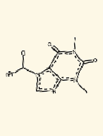 CCCC(Cl)n1cnc2c1c(=O)n(C)c(=O)n2C